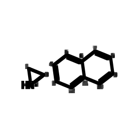 C1CN1.c1ccc2ccccc2c1